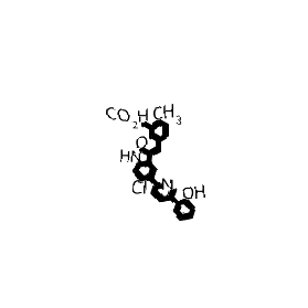 Cc1ccc(C=C2C(=O)Nc3cc(Cl)c(-c4ccc(-c5ccccc5O)cn4)cc32)cc1CC(=O)O